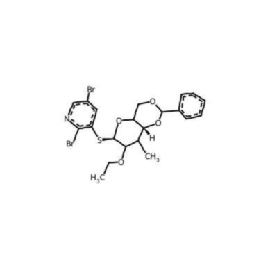 CCOC1C(C)[C@H]2OC(c3ccccc3)OCC2O[C@@H]1Sc1cc(Br)cnc1Br